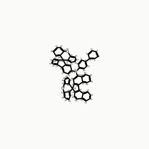 c1ccc(-c2ccc(N(c3ccc4c(c3)C3(c5ccccc5Oc5ccccc53)c3ccccc3-4)c3cc4c(c5ccccc35)-c3c(ccc5ccccc35)C43c4ccccc4Oc4ccccc43)cc2)cc1